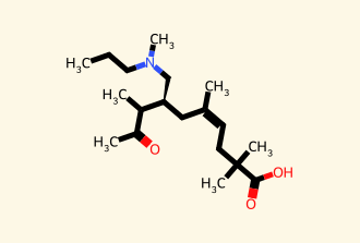 CCCN(C)C[C@@H](C/C(C)=C\CC(C)(C)C(=O)O)C(C)C(C)=O